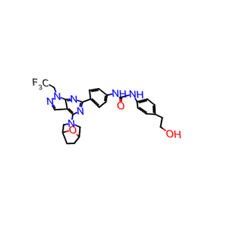 O=C(Nc1ccc(CCO)cc1)Nc1ccc(-c2nc(N3CC4CCC(C3)O4)c3cnn(CC(F)(F)F)c3n2)cc1